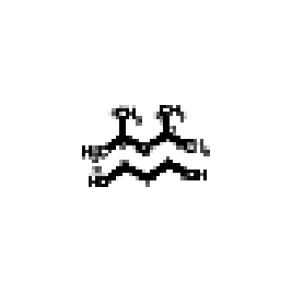 CC(C)OC(C)C.OCCCO